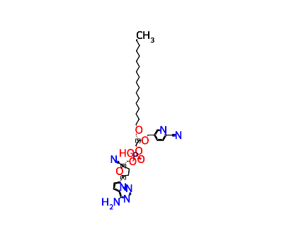 CCCCCCCCCCCCCCCCCCOC[C@@H](COP(=O)(O)OC[C@]1(C#N)CC[C@H](c2ccc3c(N)ncnn23)O1)OCc1ccc(C#N)nc1